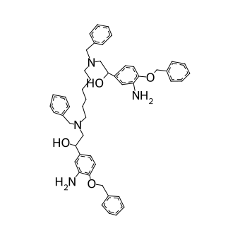 Nc1cc(C(O)CN(CCCCCCN(Cc2ccccc2)CC(O)c2ccc(OCc3ccccc3)c(N)c2)Cc2ccccc2)ccc1OCc1ccccc1